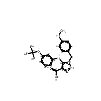 COc1ccc(Cn2nnc(C(=O)O)c2Oc2cccc(OC(F)(F)F)c2)cc1